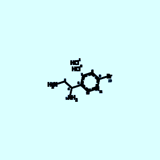 Cl.Cl.NCC(N)c1ccc(Br)nc1